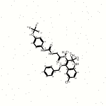 CN(C(=O)CNC(=O)Nc1ccc(OC(F)(F)F)cc1)C1=C(OCc2ccccc2)c2cc(Cl)ccc2NC1(C)Cl